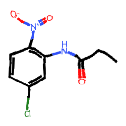 CCC(=O)Nc1cc(Cl)ccc1[N+](=O)[O-]